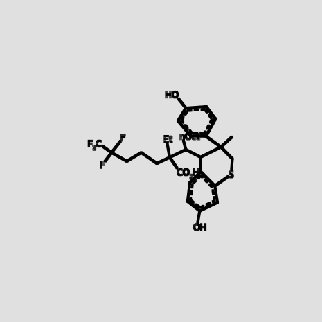 CCCCCCCCC(C1c2ccc(O)cc2SCC1(C)c1ccc(O)cc1)C(CC)(CCCC(F)(F)C(F)(F)F)C(=O)O